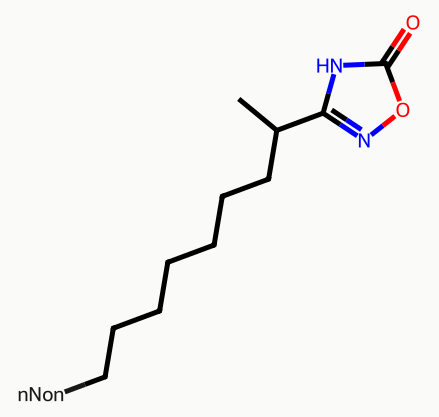 CCCCCCCCCCCCCCCCC(C)c1noc(=O)[nH]1